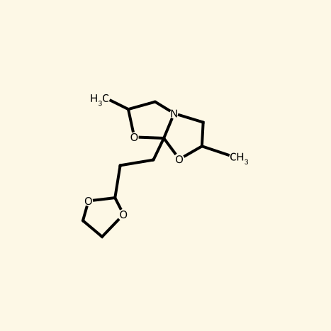 CC1CN2CC(C)OC2(CCC2OCCO2)O1